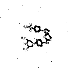 CC1CN(c2ccc(Nc3ncc4ccn(-c5ccc(S(N)(=O)=O)cc5)c4n3)cn2)CC(C)N1